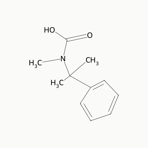 CN(C(=O)O)C(C)(C)c1ccccc1